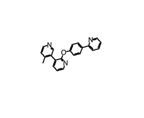 Cc1ccncc1-c1cccnc1Oc1ccc(-c2ccccn2)cc1